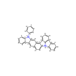 c1ccc(-n2c3ccccc3c3cc4ccc5c(c4cc32)c2cccc3c4ccccc4n5c32)cc1